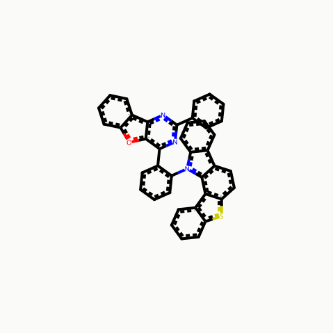 c1ccc(-c2nc(-c3ccccc3-n3c4ccccc4c4ccc5sc6ccccc6c5c43)c3oc4ccccc4c3n2)cc1